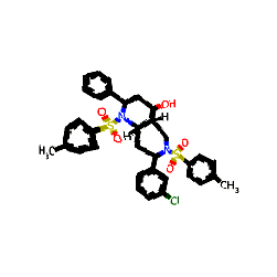 Cc1ccc(S(=O)(=O)N2C[C@H]3C(O)CC(c4ccccc4)N(S(=O)(=O)c4ccc(C)cc4)[C@H]3CC2c2cccc(Cl)c2)cc1